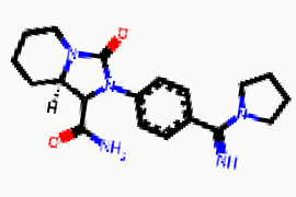 N=C(c1ccc(N2C(=O)N3CCC[CH][C@@H]3C2C(N)=O)cc1)N1CCCC1